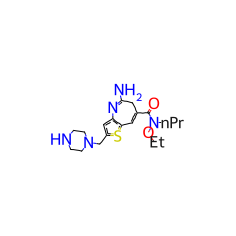 CCCN(OCC)C(=O)C1=Cc2sc(CN3CCNCC3)cc2N=C(N)C1